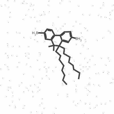 Bc1ccc2c(c1)C(C)(C)C(CCCCCCCC)(CCCCCCCC)c1cc(B)ccc1-2